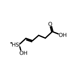 C[SiH](O)/C=C/CCC(=O)O